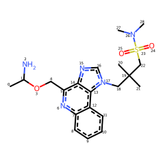 CC(N)OCc1nc2ccccc2c2c1ncn2CC(C)(C)CS(=O)(=O)N(C)C